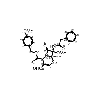 COc1ccc(COC(=O)C2C(C=O)=CS[C@@H]3N2C(=O)C3(NC(=O)Cc2ccccc2)OC)cc1